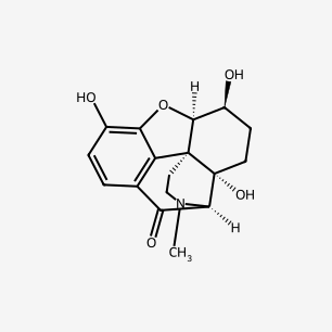 CN1CC[C@]23c4c5ccc(O)c4O[C@H]2[C@@H](O)CC[C@@]3(O)[C@H]1C5=O